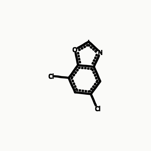 Clc1cc(Cl)c2o[c]nc2c1